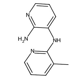 Cc1cccnc1Nc1cccnc1N